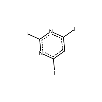 Ic1cc(I)nc(I)n1